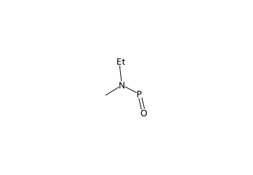 CCN(C)P=O